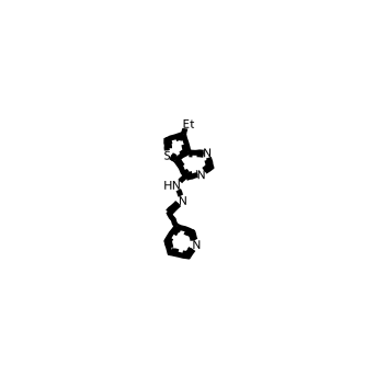 CCc1csc2c(NN=Cc3cccnc3)ncnc12